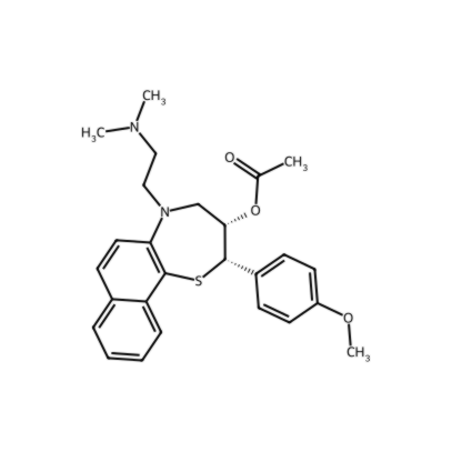 COc1ccc([C@@H]2Sc3c(ccc4ccccc34)N(CCN(C)C)C[C@@H]2OC(C)=O)cc1